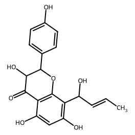 CC=CC(O)c1c(O)cc(O)c2c1OC(c1ccc(O)cc1)C(O)C2=O